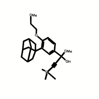 COCCOc1ccc(C(O)(C#C[Si](C)(C)C)OC)cc1C12CC3CC(CC(C3)C1)C2